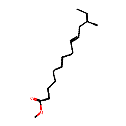 CCC(C)CC=CCCCCCCCC(=O)OC